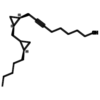 CCCCC[C@@H]1CC1C[C@H]1C[C@H]1CC#CCCCCCO